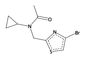 CC(=O)N(Cc1nc(Br)cs1)C1CC1